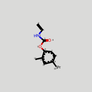 C=CNC(=O)Oc1ccc(C(C)C)cc1C